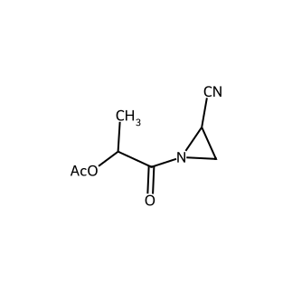 CC(=O)OC(C)C(=O)N1CC1C#N